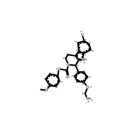 COc1ccc(OC(=O)N2CCc3c([nH]c4ccc(Cl)cc34)C2c2ccc(OCN)cc2)cc1